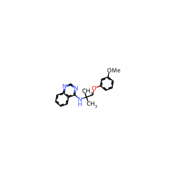 COc1cccc(OCC(C)(C)Nc2ncnc3ccccc23)c1